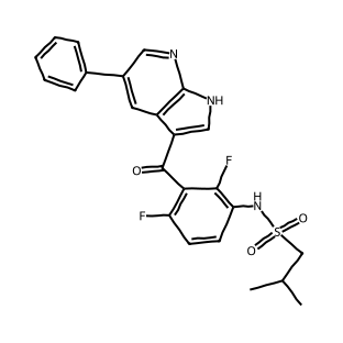 CC(C)CS(=O)(=O)Nc1ccc(F)c(C(=O)c2c[nH]c3ncc(-c4ccccc4)cc23)c1F